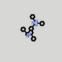 c1ccc(-c2nc(-c3ccccc3)nc(-c3ccc4c(c3)cc(-c3ccccc3)n3ncc(-c5ccccc5)c43)n2)cc1